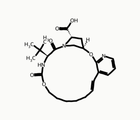 CC(C)(C)[C@@H]1NC(=O)OCCCCC/C=C/c2cccnc2O[C@@H]2C[C@@H](C(=O)O)N(C2)C1=O